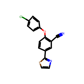 N#Cc1cc(-c2nccs2)ccc1Oc1ccc(Cl)cc1